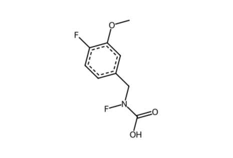 COc1cc(CN(F)C(=O)O)ccc1F